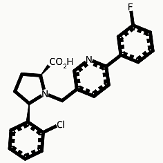 O=C(O)[C@@H]1CC[C@H](c2ccccc2Cl)N1Cc1ccc(-c2cccc(F)c2)nc1